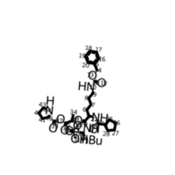 CCCCC(NC(=O)C(CCCCNC(=O)OCc1ccccc1)NC(=O)C1CCCC1)P(=O)(O)OC(C)C(=O)OC(=O)[C@@H]1CCCN1